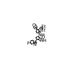 CCN(CC)Cc1nc(Nc2ccc(-c3cnc4cc(F)ccn34)c3c2C(=O)NC3)ccc1N1CCOCC1